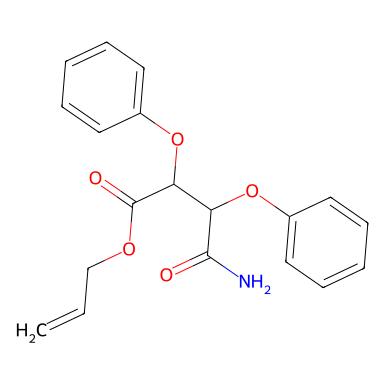 C=CCOC(=O)C(Oc1ccccc1)C(Oc1ccccc1)C(N)=O